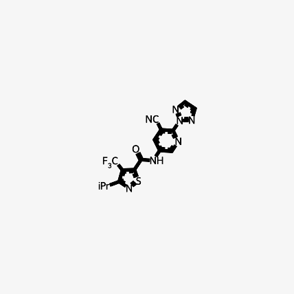 CC(C)c1nsc(C(=O)Nc2cnc(-n3nccn3)c(C#N)c2)c1C(F)(F)F